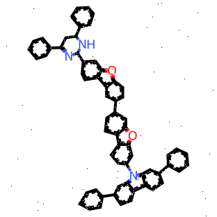 c1ccc(C2=NC(c3ccc4c(c3)oc3ccc(-c5ccc6c(c5)oc5cc(-n7c8cc(-c9ccccc9)ccc8c8ccc(-c9ccccc9)cc87)ccc56)cc34)NC(c3ccccc3)C2)cc1